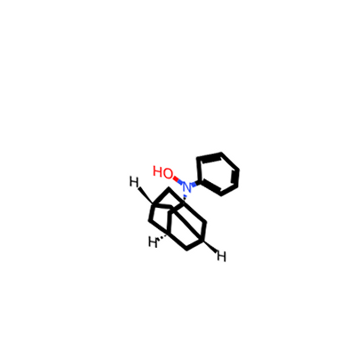 ON(c1ccccc1)[C@]12C[C@H]3C[C@H](C[C@H](C3)C1)C2